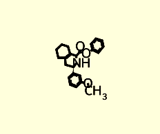 COc1cccc([C@@H]2CC3=C(CCCC3)C(C(=O)Oc3ccccc3)N2)c1